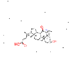 C/C=C1/C(=O)C2C3CCC([C@H](C)CCC(=O)O)[C@@]3(C)CCC2[C@@]2(C)CC[C@@H](O)C[C@@H]12